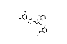 CNC(=O)c1cc(Cl)cc(C)c1NC(=O)c1cc(N2CCN(c3cc(C(F)(F)F)cc(C(F)(F)F)c3)C2=O)nn1-c1ncccc1Cl